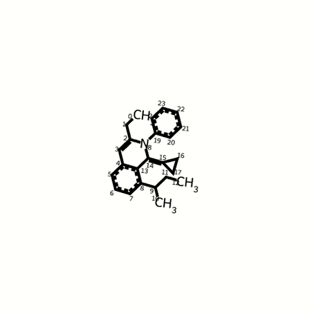 CCC1=Cc2cccc(C(C)CC)c2C(=C2CC2)N1c1ccccc1